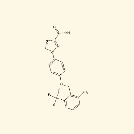 Cc1cccc(C(F)(F)F)c1COc1ccc(-n2cnc(C(N)=O)n2)cc1